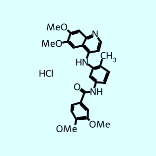 COc1ccc(C(=O)Nc2ccc(C)c(Nc3ccnc4cc(OC)c(OC)cc34)c2)cc1OC.Cl